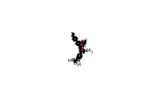 CCOc1ccc(-c2ccc(C(Oc3cc(N4CCC5(CC4)CNC(C(=O)O)C5)nc(N)n3)C(F)(F)F)c(-n3ccc(C)n3)c2)cc1